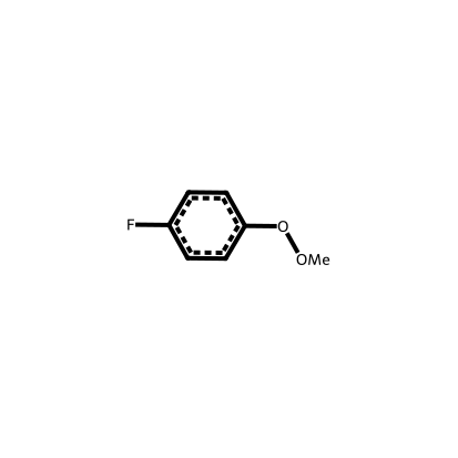 COOc1ccc(F)cc1